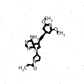 C=CC(=O)N1CCC(n2cc(C#Cc3cc(OC)nc(OC)c3)c3c(N)ncnc32)C1